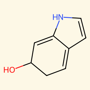 OC1C=c2[nH]ccc2=CC1